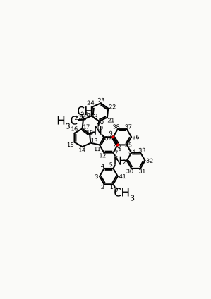 Cc1cccc(N(c2ccc3c(c2)C2CC=CC4=C2N3c2ccccc2C4(C)C)c2ccccc2-c2ccccc2)c1